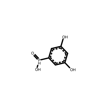 O=[PH](O)c1cc(O)cc(O)c1